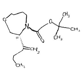 C=C(CC)[C@@H]1COCCN1C(=O)OC(C)(C)C